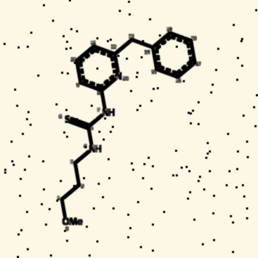 COCCCNC(=S)Nc1cccc(Cc2ccccc2)n1